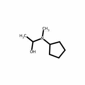 CC(O)N(C)C1CCCC1